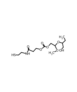 CCC(CO)OC(COC(=O)OCCC(=O)NCCS)OC